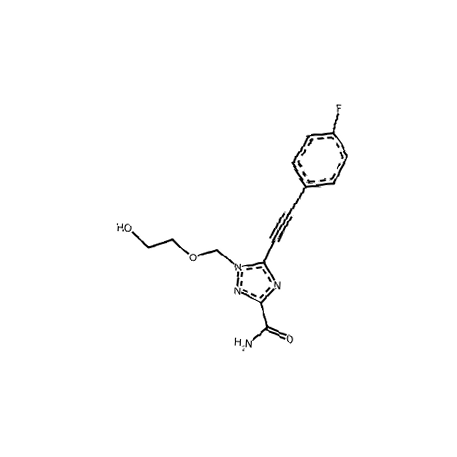 NC(=O)c1nc(C#Cc2ccc(F)cc2)n(COCCO)n1